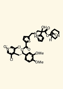 COc1ccc([C@H](Cc2c(Cl)c[n+]([O-])cc2Cl)OC(=O)c2ccc(CNCC(O)(C(=O)O[C@H]3CN4CCC3CC4)c3cccs3)s2)cc1OC